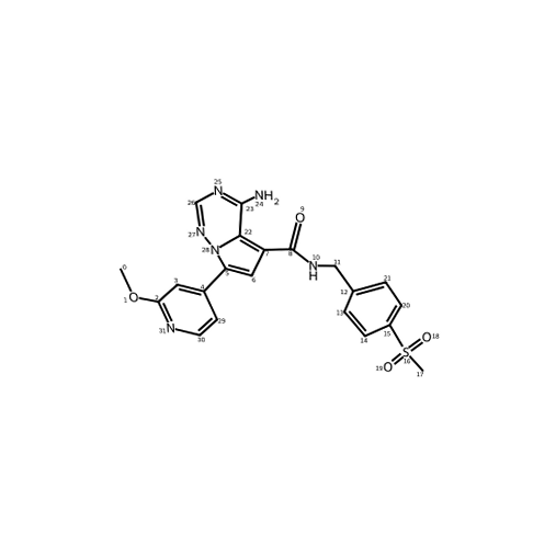 COc1cc(-c2cc(C(=O)NCc3ccc(S(C)(=O)=O)cc3)c3c(N)ncnn23)ccn1